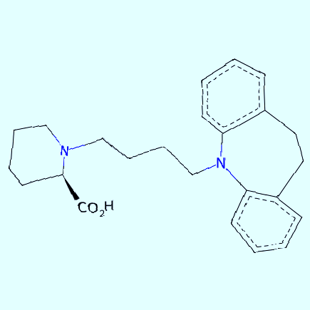 O=C(O)[C@H]1CCCCN1CCCCN1c2ccccc2CCc2ccccc21